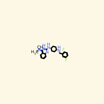 CN(C)C1=c2ccccc2=NC(N[C@H]2CC[C@@H](NCc3cc(F)ccc3F)CC2)N1